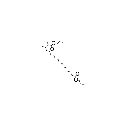 CCCOC(=O)CCCCCCCCCCCCCC(C)C(C)C(=O)OCCC